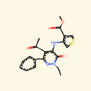 CCn1nc(-c2ccccc2)c(C(C)=O)c(Nc2cscc2C(=O)OC)c1=O